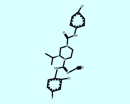 CC(C)[C@H]1CN(C(=O)Nc2ccc(Cl)cc2)CCN1/C(=N\C#N)Nc1ccc(F)cc1Cl